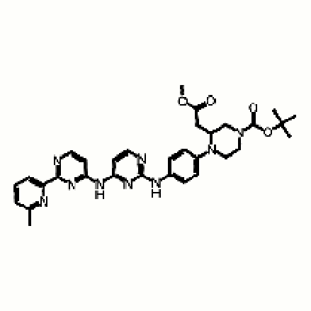 COC(=O)CC1CN(C(=O)OC(C)(C)C)CCN1c1ccc(Nc2nccc(Nc3ccnc(-c4cccc(C)n4)n3)n2)cc1